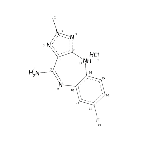 Cl.Cn1nc2c(n1)C(N)=Nc1cc(F)ccc1N2